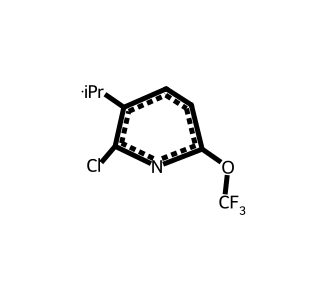 C[C](C)c1ccc(OC(F)(F)F)nc1Cl